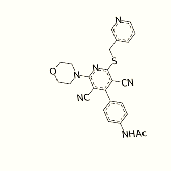 CC(=O)Nc1ccc(-c2c(C#N)c(SCc3cccnc3)nc(N3CCOCC3)c2C#N)cc1